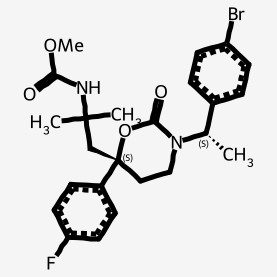 COC(=O)NC(C)(C)C[C@]1(c2ccc(F)cc2)CCN([C@@H](C)c2ccc(Br)cc2)C(=O)O1